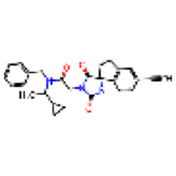 C#Cc1ccc2c(c1)CCC21NC(=O)N(CC(=O)N(Cc2ccccc2)C(C)C2CC2)C1=O